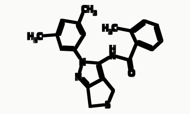 Cc1cc(C)cc(-n2nc3c(c2NC(=O)c2ccccc2C)CSC3)c1